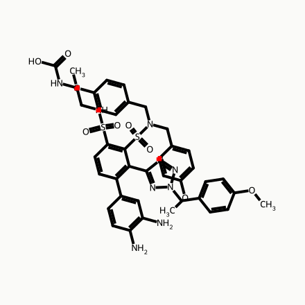 COc1ccc(CN(Cc2ccc(OC)cc2)S(=O)(=O)c2c(S(=O)(=O)NCCNC(=O)O)ccc(-c3ccc(N)c(N)c3)c2-c2nnn(Cc3ccc(OC)cc3)n2)cc1